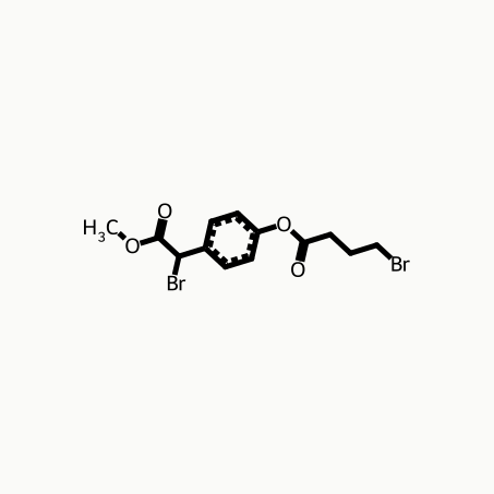 COC(=O)C(Br)c1ccc(OC(=O)CCCBr)cc1